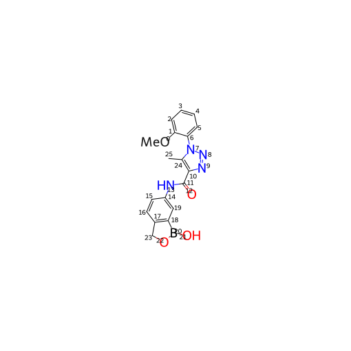 COc1ccccc1-n1nnc(C(=O)Nc2ccc3c(c2)B(O)OC3)c1C